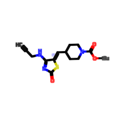 C#CCNC1=NC(=O)S/C1=C\C1CCN(C(=O)OC(C)(C)C)CC1